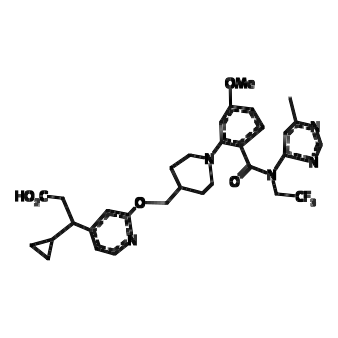 COc1ccc(C(=O)N(CC(F)(F)F)c2cc(C)ncn2)c(N2CCC(COc3cc(C(CC(=O)O)C4CC4)ccn3)CC2)c1